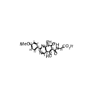 COc1ccc(-c2ncc3c(O)c(C(=O)NCC(=O)O)c(=O)n(C)c3n2)cc1